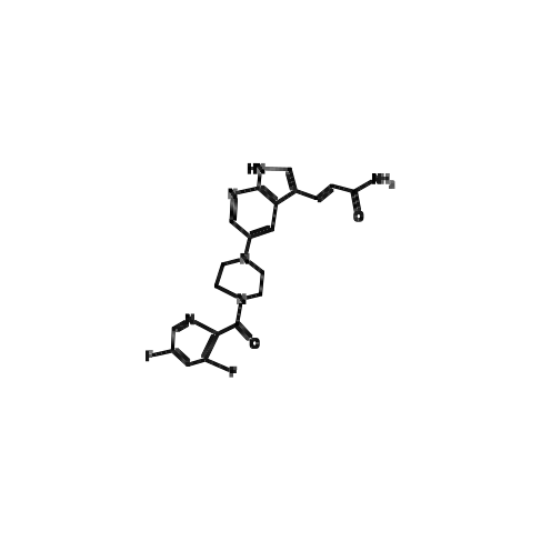 NC(=O)C=Cc1c[nH]c2ncc(N3CCN(C(=O)c4ncc(F)cc4F)CC3)cc12